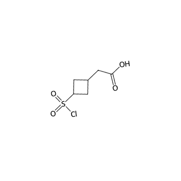 O=C(O)CC1CC(S(=O)(=O)Cl)C1